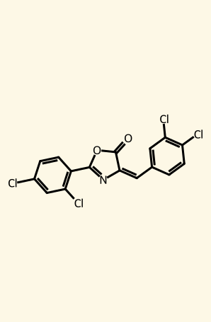 O=C1OC(c2ccc(Cl)cc2Cl)=N/C1=C/c1ccc(Cl)c(Cl)c1